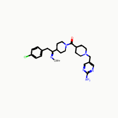 CON=C(Cc1ccc(Cl)cc1)C1CCN(C(=O)C2CCN(Cc3cnc(N)nc3)CC2)CC1